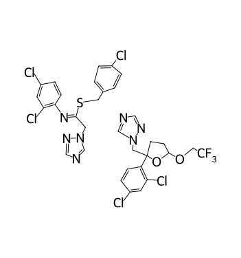 Clc1ccc(CS/C(Cn2cncn2)=N\c2ccc(Cl)cc2Cl)cc1.FC(F)(F)COC1CCC(Cn2cncn2)(c2ccc(Cl)cc2Cl)O1